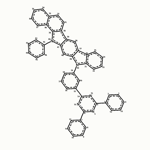 c1ccc(-c2nc(-c3ccccc3)nc(-c3cccc(-n4c5ccccc5c5cc6c7ccc8ccccc8c7n(-c7ccccc7)c6cc54)c3)n2)cc1